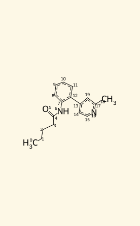 CCCCC(=O)Nc1ccccc1-c1ccnc(C)c1